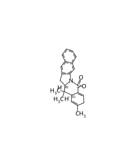 CC1=C[C@@H]2C(=CC1)S(=O)(=O)N1c3cc4ccccc4cc3C[C@@H]1C2(C)C